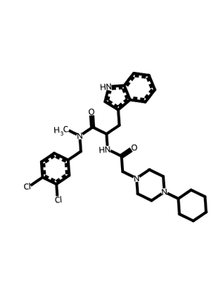 CN(Cc1ccc(Cl)c(Cl)c1)C(=O)C(Cc1c[nH]c2ccccc12)NC(=O)CN1CCN(C2CCCCC2)CC1